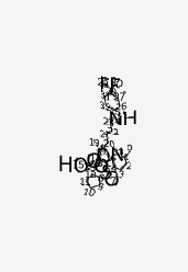 Cc1ccc(S(=O)(=O)[C@H]2CCC[C@@H]2C(=O)O)c(O[C@H](C)CCCCNC2CCC(F)(F)CC2)n1